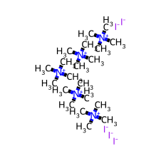 C[N+](C)(C)C.C[N+](C)(C)C.C[N+](C)(C)C.C[N+](C)(C)C.C[N+](C)(C)C.[I-].[I-].[I-].[I-].[I-]